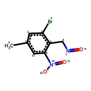 Cc1cc(Br)c(CN=O)c([N+](=O)[O-])c1